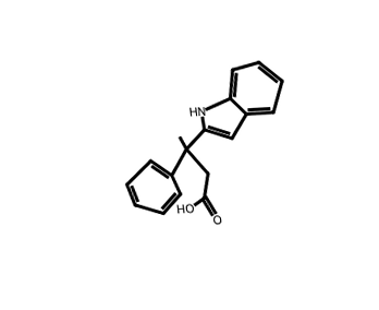 CC(CC(=O)O)(c1ccccc1)c1cc2ccccc2[nH]1